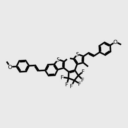 COc1ccc(C=Cc2ccc3c(C4=C(c5c(C)sc(C=Cc6ccc(OC)cc6)c5C)C(F)(F)C(F)(F)C4(F)F)c(C)sc3c2)cc1